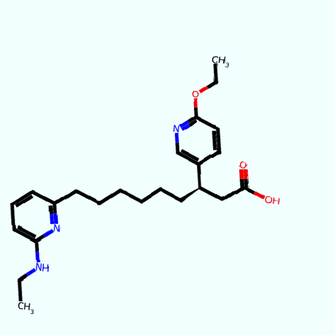 CCNc1cccc(CCCCCC[C@H](CC(=O)O)c2ccc(OCC)nc2)n1